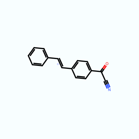 N#CC(=O)c1ccc(/C=C/c2ccccc2)cc1